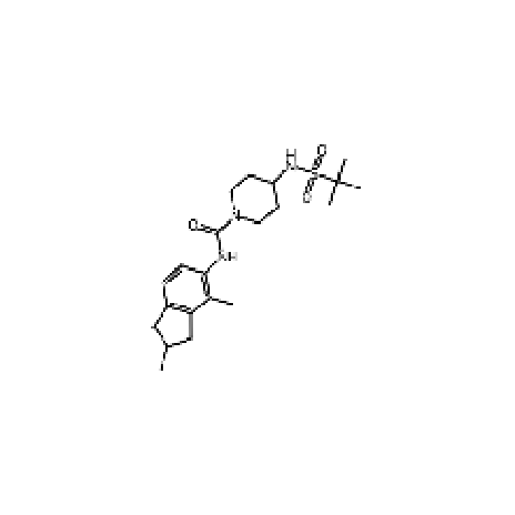 Cc1c(NC(=O)N2CCC(NS(=O)(=O)C(C)(C)C)CC2)ccc2c1CC(C)C2